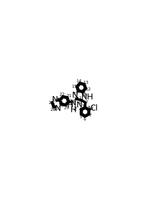 NC1(Cc2ccccc2Cl)Nc2ccccc2N=C1Nc1ccc2nccnc2c1